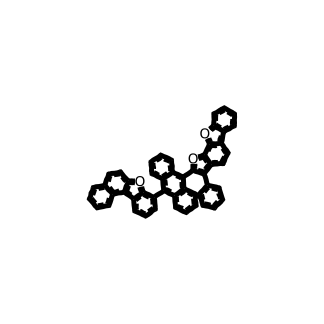 c1ccc(-c2c(-c3c4ccccc4c(-c4cccc5c4oc4ccc6ccccc6c45)c4ccccc34)oc3c2ccc2c4ccccc4oc23)cc1